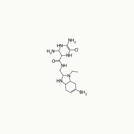 BC1=CCC2NC(CNC(=O)C3NC(Cl)=C(N)NC3N)N(CC)C2C1